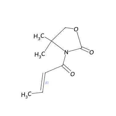 C/C=C/C(=O)N1C(=O)OCC1(C)C